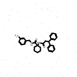 O=C(CC(c1ccccc1)c1ccccc1)NC1(C(=O)NCc2cccc(C(F)(F)F)c2)CCCCC1